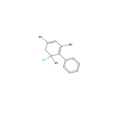 CC(C)C1=CC(C(C)C)=C(c2ccccc2)C(Cl)(C(C)C)C1